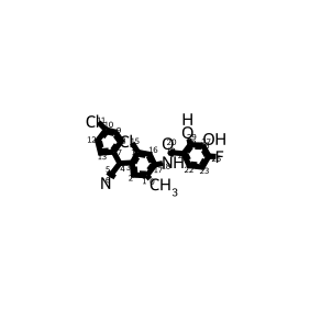 Cc1cc(C(C#N)c2ccc(Cl)cc2)c(Cl)cc1NC(=O)c1ccc(F)c(O)c1O